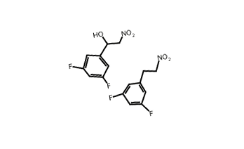 O=[N+]([O-])CC(O)c1cc(F)cc(F)c1.O=[N+]([O-])CCc1cc(F)cc(F)c1